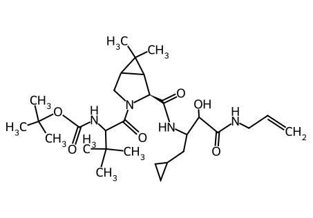 C=CCNC(=O)C(O)C(CC1CC1)NC(=O)[C@@H]1C2C(CN1C(=O)C(NC(=O)OC(C)(C)C)C(C)(C)C)C2(C)C